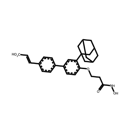 O=C(O)C=Cc1ccc(-c2ccc(OCCC(=O)NO)c(C34CC5CC(CC(C5)C3)C4)c2)cc1